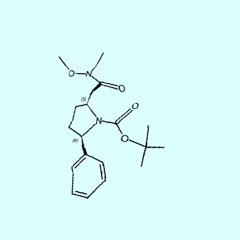 CON(C)C(=O)[C@@H]1CC[C@H](c2ccccc2)N1C(=O)OC(C)(C)C